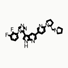 Fc1cccc(-n2cnnc2-c2c[nH]c3ncc(-c4ccc(N5CCC[C@H]5CN5CCCC5)nc4)cc23)c1F